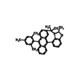 Cc1cc(C)c(-c2c3ccccc3c3c4cc(ccc24)C(C)(C)P2c4c(cccc4-3)OC2C)c(C)c1